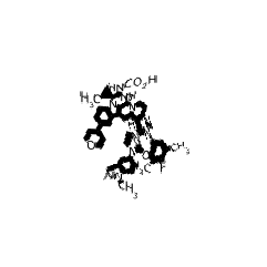 Cc1cc(-n2nc3c(c2-n2ccn(-c4ccc5c(cnn5C)c4)c2=O)[C@@H]2Cc4c(n([C@@]5(C(=N)NC(=O)O)C[C@@H]5C)c5ccc(C6CCOCC6)cc45)C(=O)N2CC3)cc(C)c1F